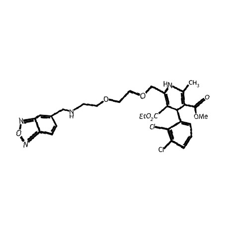 CCOC(=O)C1=C(COCCOCCNCc2ccc3nonc3c2)NC(C)=C(C(=O)OC)C1c1cccc(Cl)c1Cl